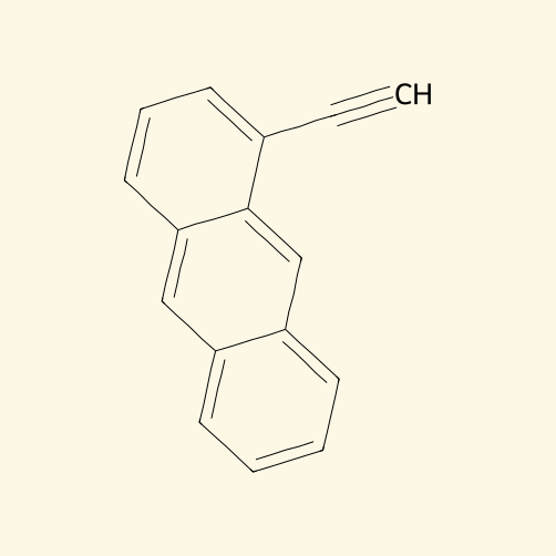 C#Cc1cccc2cc3ccccc3cc12